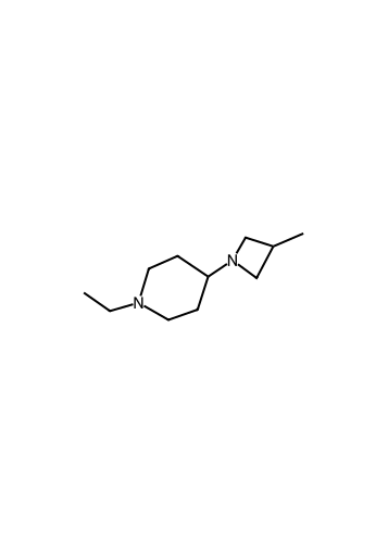 CCN1CCC(N2CC(C)C2)CC1